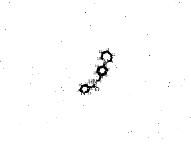 O=C(NCc1ccc(N2CCCCC2)cc1)c1cccnc1